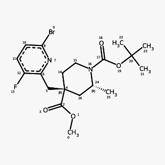 COC(=O)[C@]1(Cc2nc(Br)ccc2F)CCN(C(=O)OC(C)(C)C)[C@H](C)C1